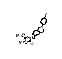 COC(=O)[C@H](Cc1ccc2c(c1)CCN(c1ccc(F)cc1)C2)NC(=O)OC(C)(C)C